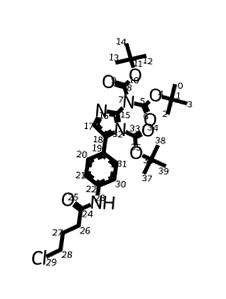 CC(C)(C)OC(=O)N(C(=O)OC(C)(C)C)c1ncc(-c2ccc(NC(=O)CCCCl)cc2)n1C(=O)OC(C)(C)C